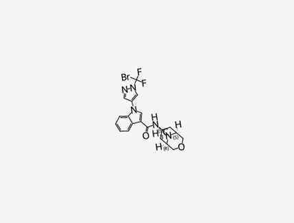 CN1[C@@H]2COC[C@H]1C[C@@H](NC(=O)c1cn(-c3cnn(C(F)(F)Br)c3)c3ccccc13)C2